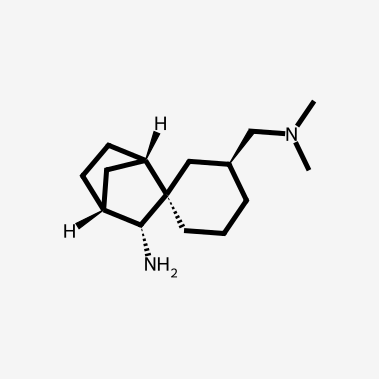 CN(C)C[C@H]1CCC[C@@]2(C1)[C@H]1CC[C@H](C1)[C@H]2N